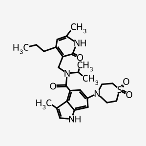 CCCc1cc(C)[nH]c(=O)c1CN(C(=O)c1cc(N2CCS(=O)(=O)CC2)cc2[nH]cc(C)c12)C(C)C